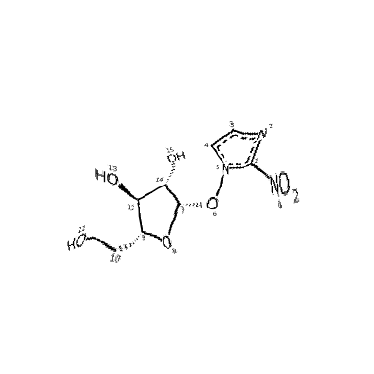 O=[N+]([O-])c1nccn1O[C@@H]1O[C@H](CO)[C@@H](O)[C@@H]1O